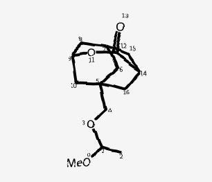 COC(C)OCC12CC3CC(C1)OC(=O)C(C3)C2